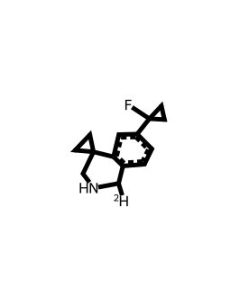 [2H]C1NCC2(CC2)c2cc(C3(F)CC3)ccc21